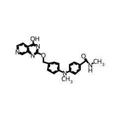 CNC(=O)c1ccc(N(C)c2ccc(COc3nc(O)c4ccncc4n3)cc2)cc1